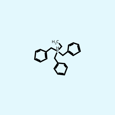 CC[PH](Cc1ccccc1)(Cc1ccccc1)Cc1ccccc1